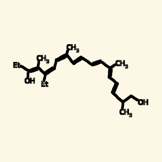 CCC(=CC=C(C)C=CC=CC(C)=CC=CC(C)CO)C(C)=C(O)CC